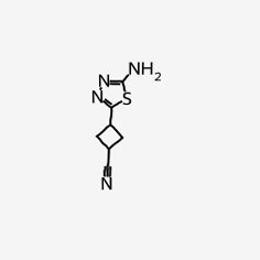 N#CC1CC(c2nnc(N)s2)C1